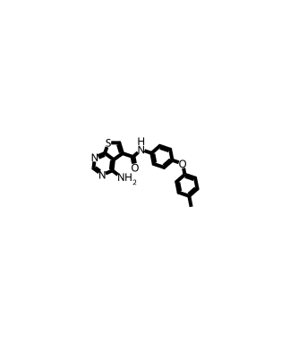 Cc1ccc(Oc2ccc(NC(=O)c3csc4ncnc(N)c34)cc2)cc1